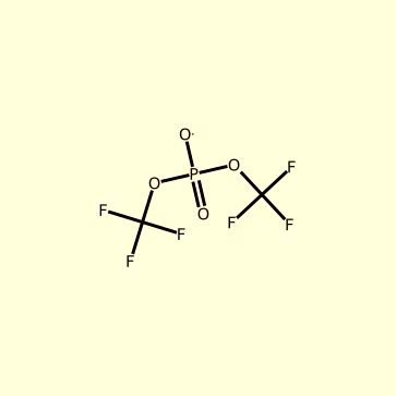 [O]P(=O)(OC(F)(F)F)OC(F)(F)F